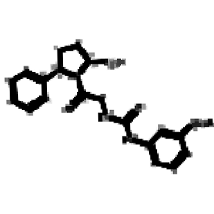 CCOC(=O)c1cccc(NC(=O)NCC(=O)N2[C@@H](c3ccccc3)CC[C@H]2C(=O)O)c1